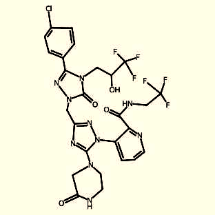 O=C1CN(c2nc(Cn3nc(-c4ccc(Cl)cc4)n(CC(O)C(F)(F)F)c3=O)nn2-c2cccnc2C(=O)NCC(F)(F)F)CCN1